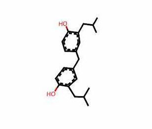 CC(C)Cc1cc(Cc2ccc(O)c(CC(C)C)c2)ccc1O